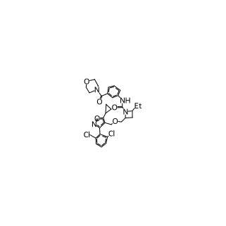 CCC1CC(COCc2c(-c3c(Cl)cccc3Cl)noc2C2CC2)N1C(=O)Nc1cccc(C(=O)N2CCOCC2)c1